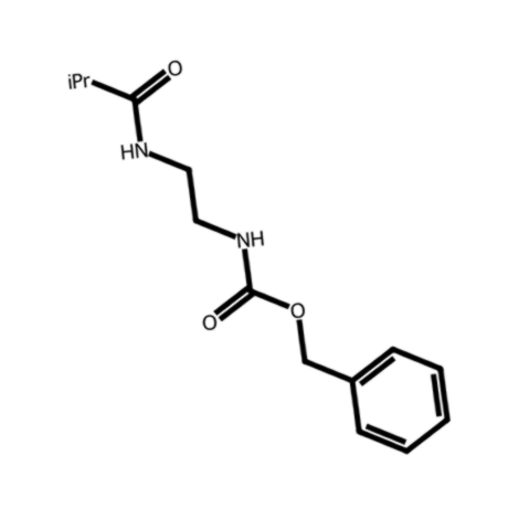 CC(C)C(=O)NCCNC(=O)OCc1ccccc1